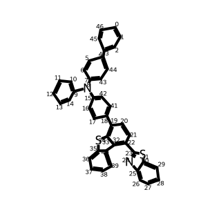 c1ccc(-c2ccc(N(c3ccccc3)c3ccc(-c4ccc(-c5nc6ccccc6s5)c5c4sc4ccccc45)cc3)cc2)cc1